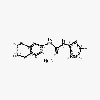 Cc1cc(NC(=O)Nc2ccc3c(c2)CCNC3)no1.Cl